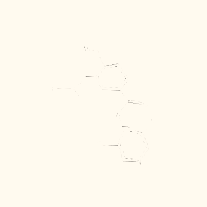 COc1ccc(C(=O)Nc2c(Cl)cncc2Cl)cc1OC(F)F